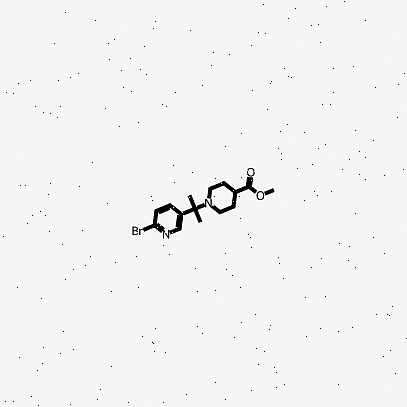 COC(=O)C1CCN(C(C)(C)c2ccc(Br)nc2)CC1